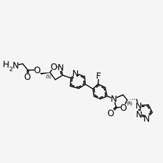 NCC(=O)OC[C@@H]1CC(c2ccc(-c3ccc(N4C[C@H](Cn5ccnn5)OC4=O)cc3F)cn2)=NO1